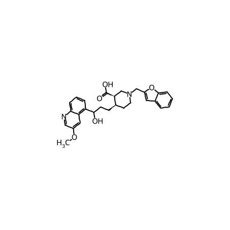 COc1cnc2cccc(C(O)CC[C@@H]3CCN(Cc4cc5ccccc5o4)C[C@@H]3C(=O)O)c2c1